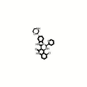 CC(Nc1c(-c2nc3ccc([C@H]4CNCCO4)cc3[nH]2)c(=O)[nH]c2cccc(Cl)c12)c1ccccn1